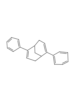 C1=C(c2ccccc2)C2CC=C(c3ccccc3)C(C1)C2